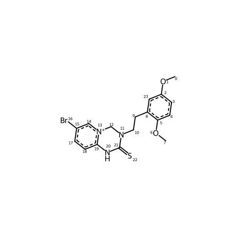 COc1ccc(OC)c(CCN2C[n+]3cc(Br)ccc3NC2=S)c1